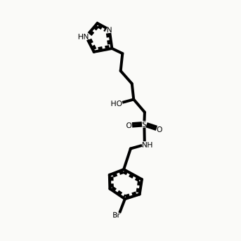 O=S(=O)(CC(O)CCCc1c[nH]cn1)NCc1ccc(Br)cc1